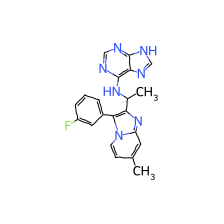 Cc1ccn2c(-c3cccc(F)c3)c(C(C)Nc3ncnc4[nH]cnc34)nc2c1